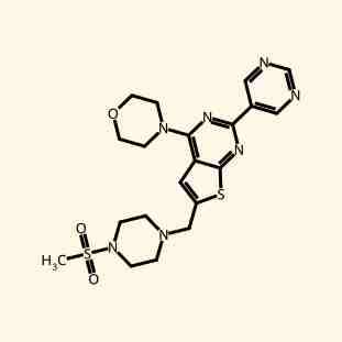 CS(=O)(=O)N1CCN(Cc2cc3c(N4CCOCC4)nc(-c4cncnc4)nc3s2)CC1